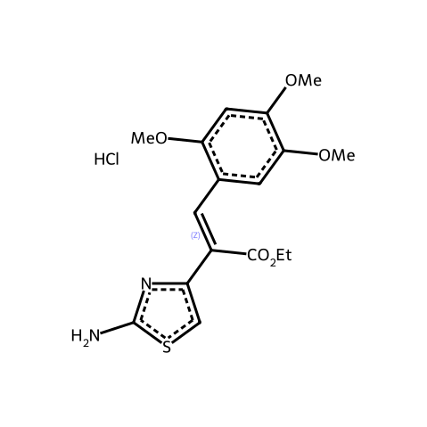 CCOC(=O)/C(=C\c1cc(OC)c(OC)cc1OC)c1csc(N)n1.Cl